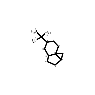 BC(B)(C1CCC23CC2CCC3C1)C(C)(C)C